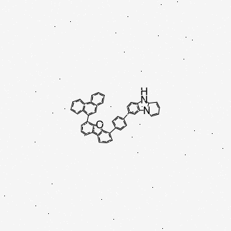 C1=CC2Nc3ccc(-c4ccc(-c5cccc6c5oc5c(-c7cc8ccccc8c8ccccc78)cccc56)cc4)cc3N2C=C1